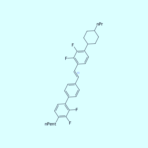 CCCCCc1ccc(-c2ccc(/C=C/c3ccc(C4CCC(CCC)CC4)c(F)c3F)cc2)c(F)c1F